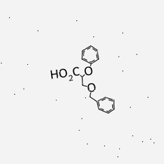 O=C(O)C(COCc1ccccc1)Oc1ccccc1